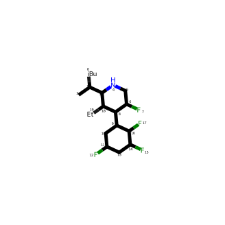 CCC(C)C(C)C1NCC(F)C(C2CC(F)CC(F)C2F)C1CC